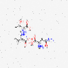 CC(C)[C@H](N)C(=O)O.C[C@@H](O)[C@H](N)C(=O)O.NC(=O)C[C@H](N)C(=O)O